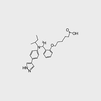 [2H]C(c1ccccc1OCCCCCC(=O)O)N(c1ccc(-c2cn[nH]c2)cc1)C(C)CC